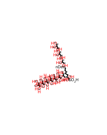 CCCCCCCCCCCCCCCCC(O)(O)C(=O)O.OCC(O)CO.OCC(O)CO.OCC(O)CO.OCC(O)CO.OCC(O)CO.OCC(O)CO.OCC(O)CO.OCC(O)CO.OCC(O)CO.OCC(O)CO